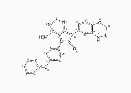 Nc1ncnc2c1n(-c1ccc(Oc3ccccc3)cc1)c(=O)n2-c1ccc2c(c1)NCCO2